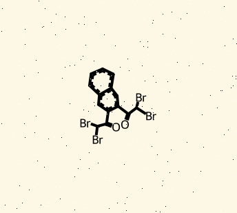 O=C(c1cc2ccccc2cc1C(=O)C(Br)Br)C(Br)Br